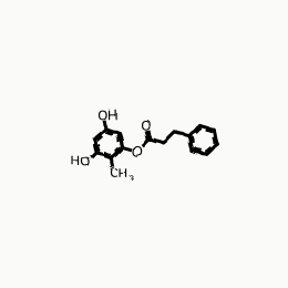 Cc1c(O)cc(O)cc1OC(=O)CCc1ccccc1